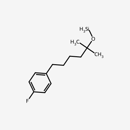 CC(C)(CCCCc1ccc(F)cc1)O[SiH3]